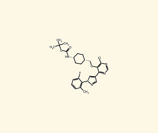 Cc1cccc(F)c1-n1cc(-c2ncnc(Cl)c2OC[C@H]2CC[C@@H](NC(=O)OC(C)(C)C)CC2)cn1